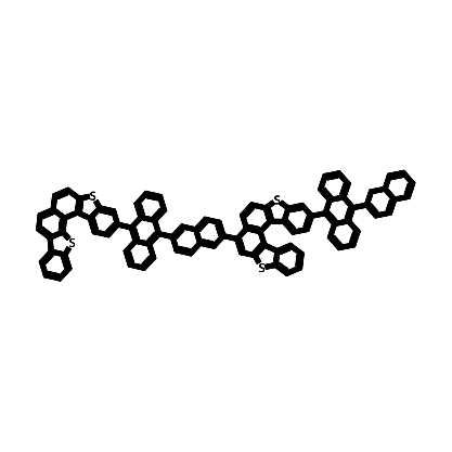 C1=CC2=CC=C(c3c4ccccc4c(-c4ccc5c(c4)sc4ccc6c(-c7ccc8cc(-c9c%10ccccc%10c(-c%10ccc%11c(c%10)sc%10ccc%12ccc%13c%14ccccc%14sc%13c%12c%10%11)c%10ccccc9%10)ccc8c7)cc7sc8ccccc8c7c6c45)c4ccccc34)CC2C=C1